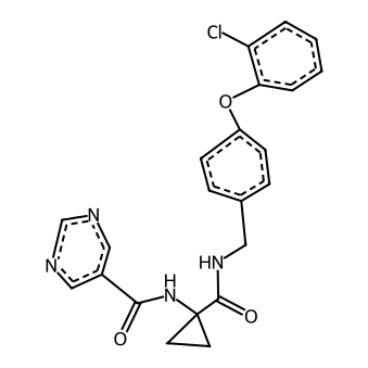 O=C(NC1(C(=O)NCc2ccc(Oc3ccccc3Cl)cc2)CC1)c1cncnc1